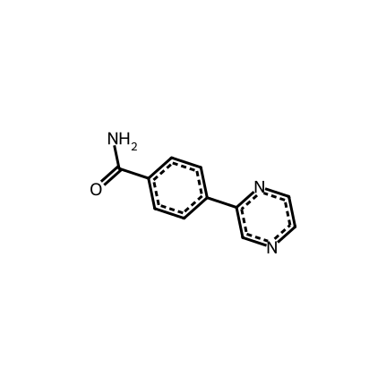 NC(=O)c1ccc(-c2cnccn2)cc1